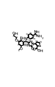 COc1cc(OCCO)c(F)c([C@H](Nc2ccc(C(=N)N)cc2)c2nn(-c3ccsc3C(=O)O)c(=O)[nH]2)c1